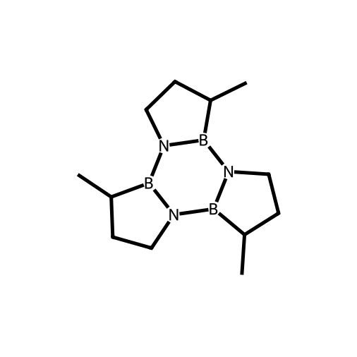 CC1CCN2B1N1CCC(C)B1N1CCC(C)B21